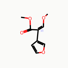 CO/C=C(\C(=O)OC)c1ccoc1